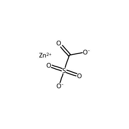 O=C([O-])S(=O)(=O)[O-].[Zn+2]